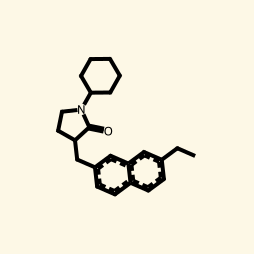 CCc1ccc2ccc(CC3CCN(C4CCCCC4)C3=O)cc2c1